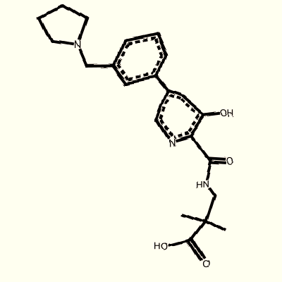 CC(C)(CNC(=O)c1ncc(-c2cccc(CN3CCCC3)c2)cc1O)C(=O)O